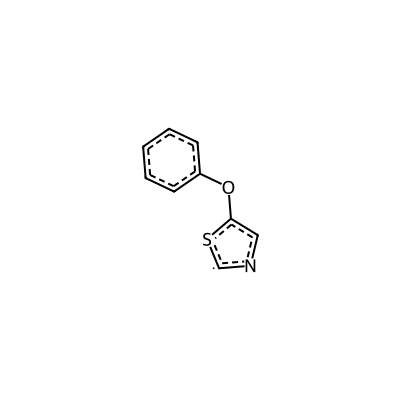 [c]1ncc(Oc2ccccc2)s1